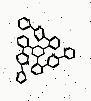 c1ccc(-c2ccc(-c3ccccc3C3CC(c4ccccc4-c4ccc(-c5ccccn5)nc4)CC(c4ccccc4-c4ccc(-c5ccccn5)nc4)C3)cn2)nc1